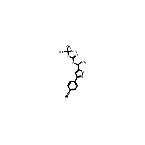 [C-]#[N+]c1ccc(-c2cc(C(C)NC(=O)OC(C)(C)C)on2)cc1